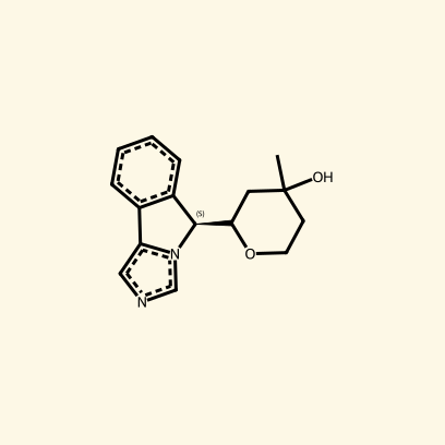 CC1(O)CCOC([C@@H]2c3ccccc3-c3cncn32)C1